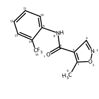 Cc1oncc1C(=O)Nc1ccccc1C(F)(F)F